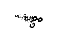 O=C(O)c1cnn(-c2nc(N3CCCCCC3)c3cc(-c4ccccc4)ccc3n2)c1